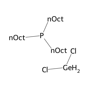 CCCCCCCCP(CCCCCCCC)CCCCCCCC.[Cl][GeH2][Cl]